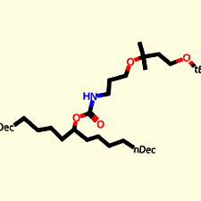 CCCCCCCCCCCCCCC(CCCCCCCCCCCCCC)OC(=O)NCCCOC(C)(C)CCOC(C)(C)C